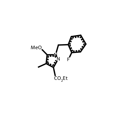 CCOC(=O)c1nn(Cc2ccccc2F)c(OC)c1C